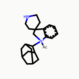 CC(=O)[N+]1(C2C3CC4CC(C3)CC2C4)CC2(CCNCC2)c2ccccc21